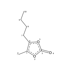 [CH2]c1oc(=O)oc1CCCC